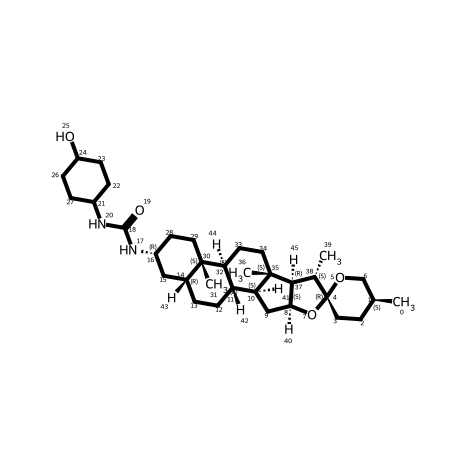 C[C@H]1CC[C@@]2(OC1)O[C@H]1C[C@H]3[C@@H]4CC[C@@H]5C[C@H](NC(=O)NC6CCC(O)CC6)CC[C@]5(C)[C@H]4CC[C@]3(C)[C@H]1[C@@H]2C